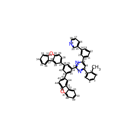 Cc1ccccc1-c1cc(-c2cccc(-c3cccnc3)c2)nc(-c2cc(-c3ccc4oc5ccccc5c4c3)cc(-c3ccc4oc5ccccc5c4c3)c2)n1